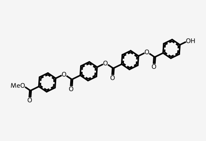 COC(=O)c1ccc(OC(=O)c2ccc(OC(=O)c3ccc(OC(=O)c4ccc(O)cc4)cc3)cc2)cc1